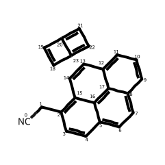 N#CCc1ccc2ccc3cccc4ccc1c2c34.c1cc2ccc1-2